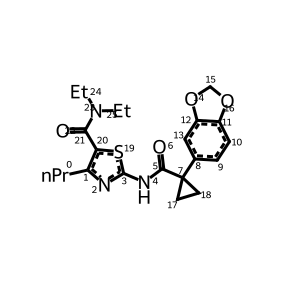 CCCc1nc(NC(=O)C2(c3ccc4c(c3)OCO4)CC2)sc1C(=O)N(CC)CC